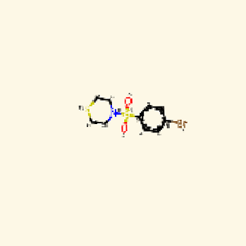 O=S(=O)(c1ccc(Br)cc1)N1CCSCC1